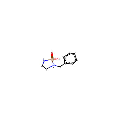 O=S1(=O)[N]CCN1Cc1ccccc1